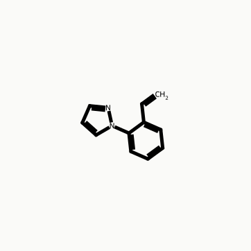 C=Cc1ccccc1-n1cccn1